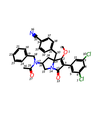 COC1=C(c2cc(Cl)cc(Cl)c2)C(=O)N2CC(N(Cc3ccccc3)C(C)=O)CC12Cc1ccc(C#N)cc1